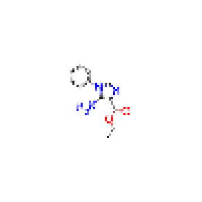 CCOC(=O)c1ncn(-c2ccccc2)c1N